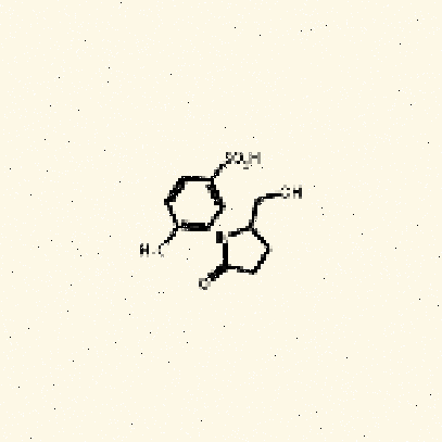 Cc1ccc(S(=O)(=O)O)cc1.O=C1CCC(CO)N1